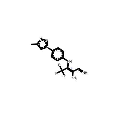 B/C(C=N)=C(/Nc1ccc(-n2cc(C)nn2)cc1)C(F)(F)F